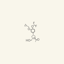 CC(=O)N1C[C@H](c2ccc(OC(F)F)c(OCC3CC3)c2)C[C@@H]1CO